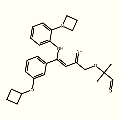 CC(C)(C=O)OCC(=N)/C=C(\Nc1ccccc1N1CCC1)c1cccc(OC2CCC2)c1